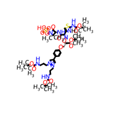 CC(C)(C)OC(=O)NCCCn1cc(-c2ccc(OC[C@H](O/N=C(\C(=O)N[C@@H]3C(=O)N(OS(=O)(=O)O)C3(C)C)c3csc(NC(=O)OC(C)(C)C)n3)C(=O)OC(C)(C)C)cc2)c[n+]1CCCNC(=O)OC(C)(C)C